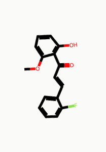 COc1cccc(O)c1C(=O)/C=C/c1ccccc1F